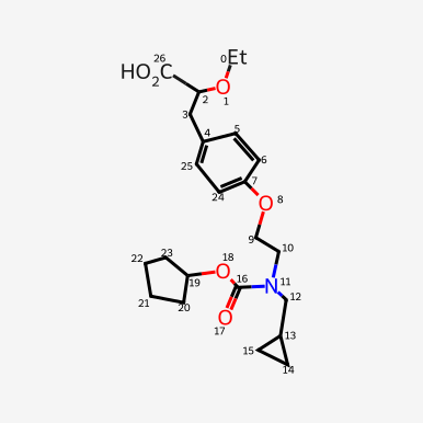 CCOC(Cc1ccc(OCCN(CC2CC2)C(=O)OC2CCCC2)cc1)C(=O)O